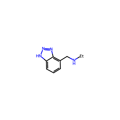 CCNCc1cccc2[nH]nnc12